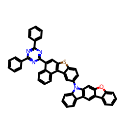 c1ccc(-c2nc(-c3ccccc3)nc(-c3cc4sc5ccc(-n6c7ccccc7c7cc8c(cc76)oc6ccccc68)cc5c4c4ccccc34)n2)cc1